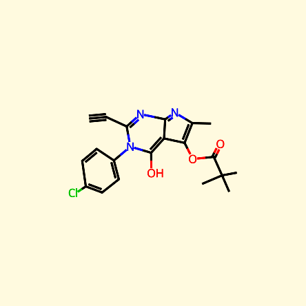 C#Cc1nc2nc(C)c(OC(=O)C(C)(C)C)c-2c(O)n1-c1ccc(Cl)cc1